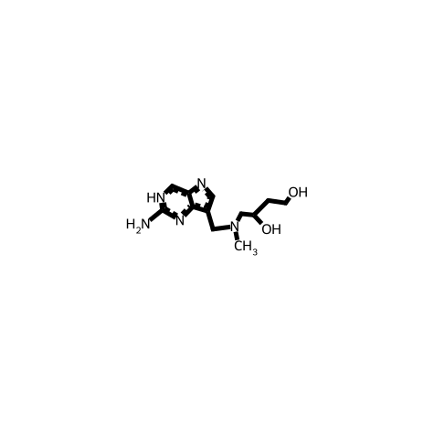 CN(Cc1cnc2c[nH]c(N)nc1-2)CC(O)CCO